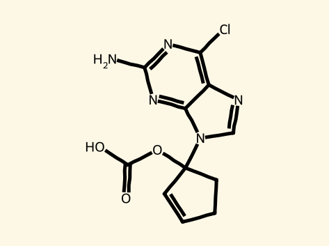 Nc1nc(Cl)c2ncn(C3(OC(=O)O)C=CCC3)c2n1